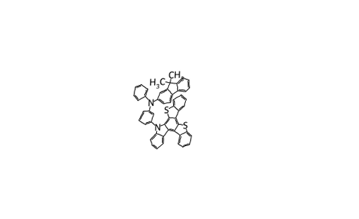 CC1(C)c2ccccc2-c2ccc(N(c3ccccc3)c3cccc(-n4c5ccccc5c5c6c7ccccc7sc6c6c7ccccc7sc6c54)c3)cc21